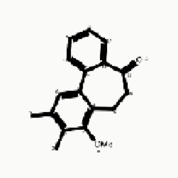 COc1c(C)c(C)cc2c1CCC(=O)c1ccccc1-2